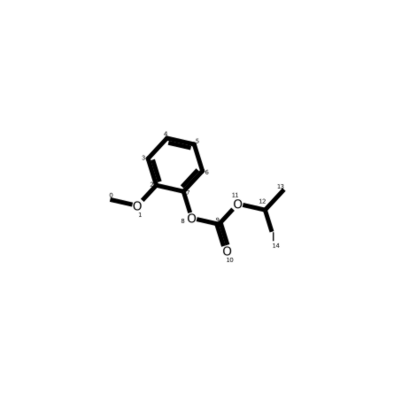 COc1ccccc1OC(=O)OC(C)I